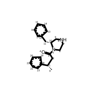 C[C@@H](CC(=O)N1CCNC[C@H]1Cc1ccccc1)c1ccccc1